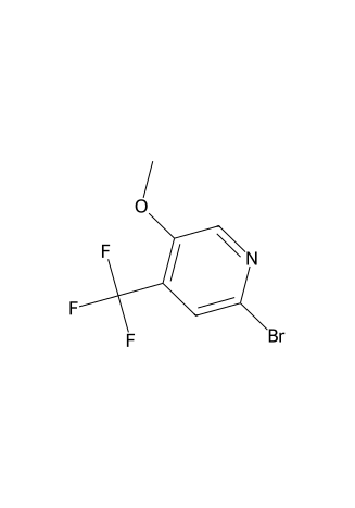 COc1cnc(Br)cc1C(F)(F)F